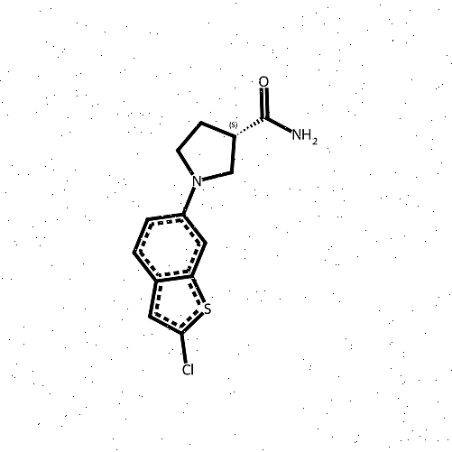 NC(=O)[C@H]1CCN(c2ccc3cc(Cl)sc3c2)C1